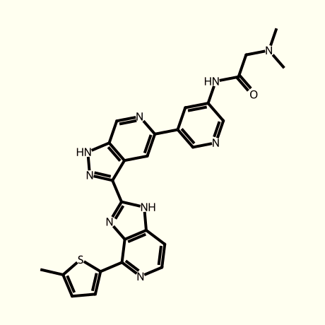 Cc1ccc(-c2nccc3[nH]c(-c4n[nH]c5cnc(-c6cncc(NC(=O)CN(C)C)c6)cc45)nc23)s1